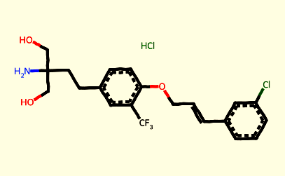 Cl.NC(CO)(CO)CCc1ccc(OCC=Cc2cccc(Cl)c2)c(C(F)(F)F)c1